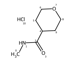 CNC(=O)C1CCOCC1.Cl